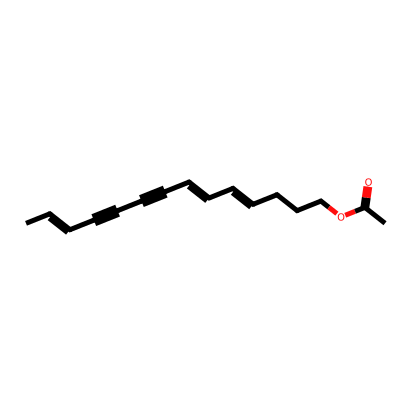 C/C=C/C#CC#C/C=C/C=C/CCCOC(C)=O